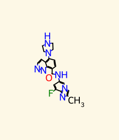 Cc1cn2cc(NC(=O)c3ccc(N4CCNCC4)c4ccnnc34)cc(F)c2n1